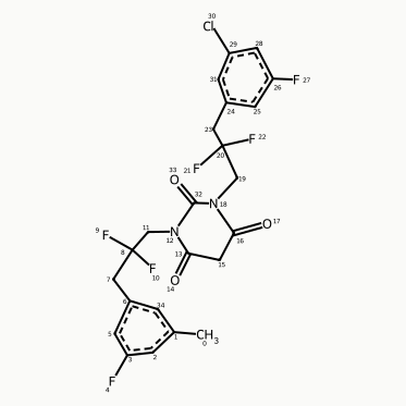 Cc1cc(F)cc(CC(F)(F)CN2C(=O)CC(=O)N(CC(F)(F)Cc3cc(F)cc(Cl)c3)C2=O)c1